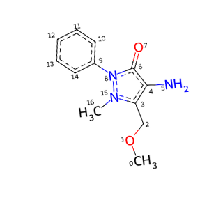 COCc1c(N)c(=O)n(-c2ccccc2)n1C